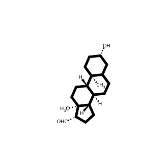 C[C@]12CC[C@H]3[C@@H](CCC4C[C@@H](O)CC[C@@]43C)[C@@H]1CC[C@@H]2C=O